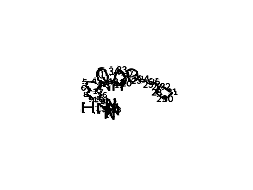 O=C(Nc1cccc2ccc(-c3nnn[nH]3)cc12)c1ccc(OCCCCc2ccccc2)cc1